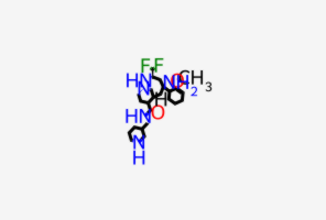 COC1=CCCCC1[C@@]1(N)C[C@@H]2C[N@](CCC2C(=O)NCC2CCCNC2)N[C@@H](C(F)F)C1